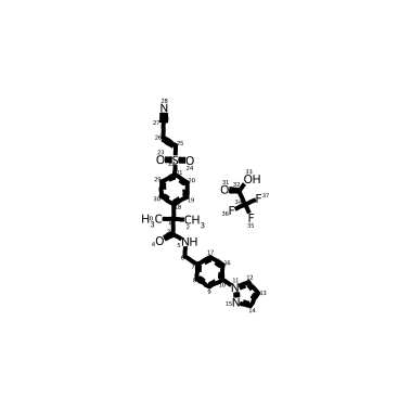 CC(C)(C(=O)NCc1ccc(-n2cccn2)cc1)c1ccc(S(=O)(=O)C=CC#N)cc1.O=C(O)C(F)(F)F